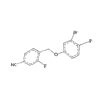 N#Cc1ccc(COc2ccc(F)c(Br)c2)c(F)c1